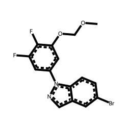 COCOc1cc(-n2ncc3cc(Br)ccc32)cc(F)c1F